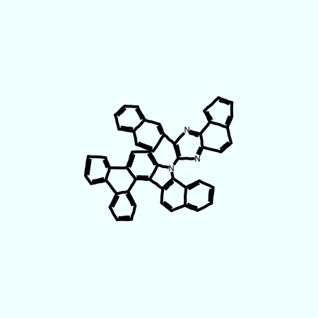 c1ccc2cc(-c3nc4c(ccc5ccccc54)nc3-n3c4ccc5c6ccccc6c6ccccc6c5c4c4ccc5ccccc5c43)ccc2c1